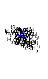 Cc1cc2c(cc1N1c3cc4c(cc3B3c5cc6c(cc5N(c5cc7c(cc5C)C(C)(C)CCC7(C)C)c5cc(N(c7ccc(C(C)(C)C)cc7)c7ccc(C(C)(C)C)cc7)cc1c53)C(C)(C)c1ccccc1C6(C)C)C(C)(C)c1cc3c(cc1-4)C(C)(C)CCC3(C)C)C(C)(C)CCC2(C)C